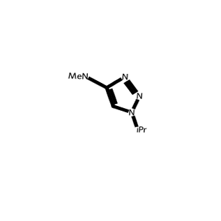 CNc1cn(C(C)C)nn1